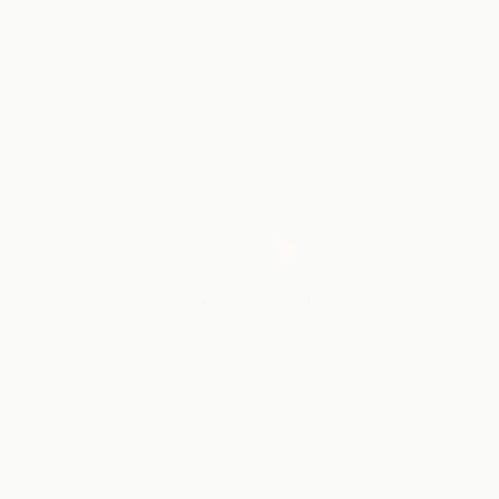 Cc1oc2ccccc2c1CC(=O)O